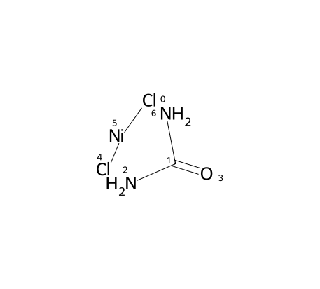 NC(N)=O.[Cl][Ni][Cl]